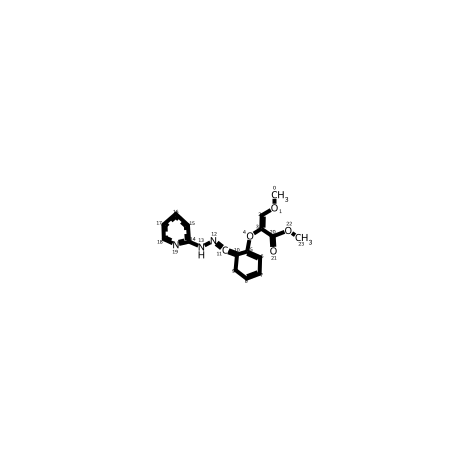 COC=C(OC1=CC=CCC1=C=NNc1ccccn1)C(=O)OC